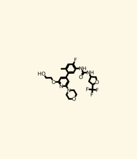 Cc1cc(F)c(NC(=O)NC2COC(C(F)(F)F)C2)cc1-c1cc(OCCO)nc(N2CCOCC2)c1